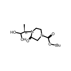 C[C@H](C(O)O)N1CCN(C(=O)OC(C)(C)C)CC1=O